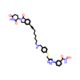 CN(CCCCCCC#Cc1ccc2c(c1)CN(C1CCC(=O)NC1=O)C2=O)Cc1ccc(SCc2cn(-c3cccc(C(=O)NO)c3)nn2)cc1